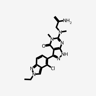 C=C(N)CN(C)c1nc2[nH]nc(-c3ccc4nn(CC)cc4c3Cl)c2c(=O)n1C